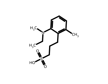 CCN(C)c1cccc(C)c1CCCS(=O)(=O)O